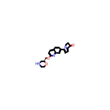 O=C1CCn2c1ccc2-c1ccc2ccc(OC[C@@H]3CNCCO3)nc2c1